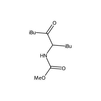 CCC(C)C(=O)C(NC(=O)OC)C(C)CC